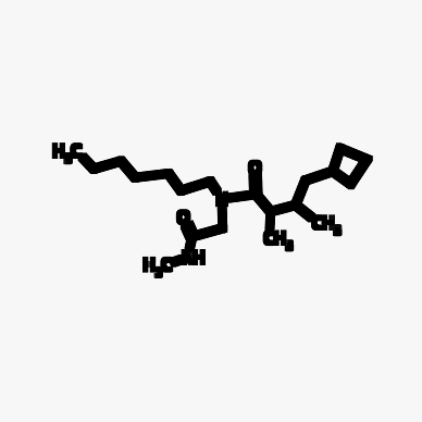 CCCCCCCN(CC(=O)NC)C(=O)C(C)C(C)CC1CCC1